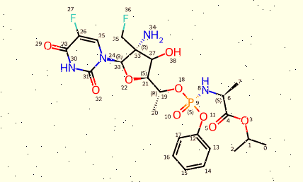 CC(C)OC(=O)[C@H](C)N[P@@](=O)(Oc1ccccc1)O[C@H](C)[C@H]1O[C@@H](n2cc(F)c(=O)[nH]c2=O)[C@@](N)(CF)C1O